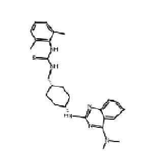 Cc1cccc(C)c1NC(=S)NC[C@H]1CC[C@@H](Nc2nc(N(C)C)c3ccccc3n2)CC1